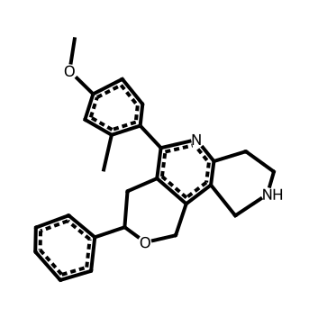 COc1ccc(-c2nc3c(c4c2CC(c2ccccc2)OC4)CNCC3)c(C)c1